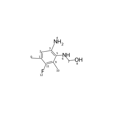 Cc1cc(N)c(NCO)c(C)c1F